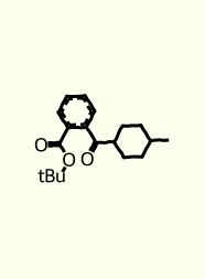 CC1CCC(C(=O)c2ccccc2C(=O)OC(C)(C)C)CC1